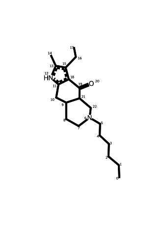 CCCCCCN1CCC2Cc3[nH]c(C)c(CC)c3C(=O)C2C1